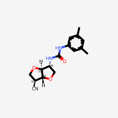 Cc1cc(C)cc(NC(=O)N[C@@H]2CO[C@H]3[C@H]2OC[C@@H]3C#N)c1